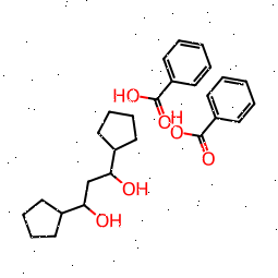 O=C(O)c1ccccc1.O=C(O)c1ccccc1.OC(CC(O)C1CCCC1)C1CCCC1